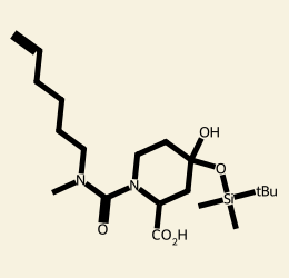 C=CCCCCN(C)C(=O)N1CCC(O)(O[Si](C)(C)C(C)(C)C)CC1C(=O)O